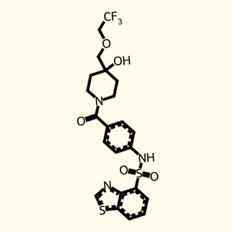 O=C(c1ccc(NS(=O)(=O)c2cccc3scnc23)cc1)N1CCC(O)(COCC(F)(F)F)CC1